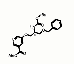 COC(=O)c1cncc(OC[C@H](COCc2ccccc2)NC(=O)OC(C)(C)C)c1